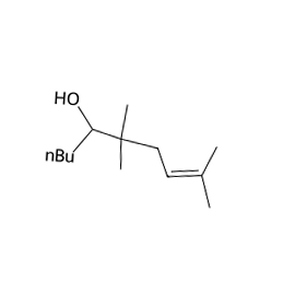 CCCCC(O)C(C)(C)CC=C(C)C